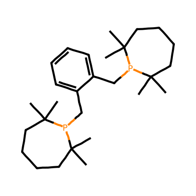 CC1(C)CCCCC(C)(C)P1Cc1ccccc1CP1C(C)(C)CCCCC1(C)C